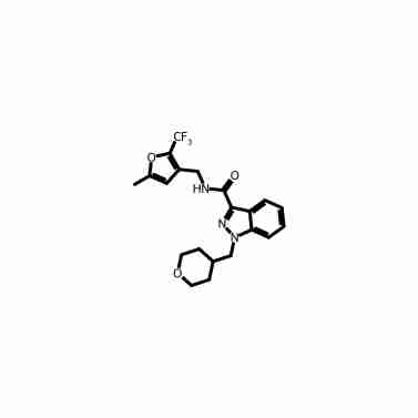 Cc1cc(CNC(=O)c2nn(CC3CCOCC3)c3ccccc23)c(C(F)(F)F)o1